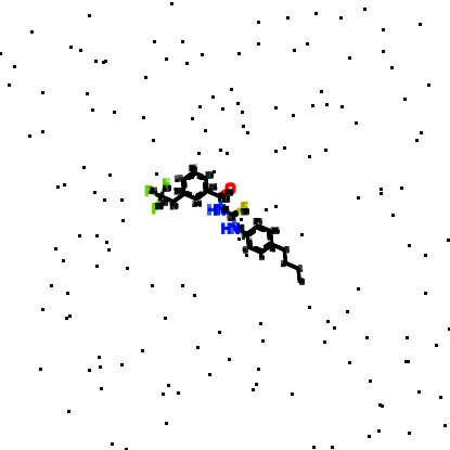 CCCCc1ccc(NC(=S)NC(=O)c2cccc(CC(F)(F)F)c2)cc1